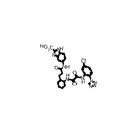 O=C(CCc1ccccc1NC(=O)C(=O)Nc1cc(Cl)ccc1-n1cnnn1)Nc1ccc2[nH]c(C(=O)O)nc2c1